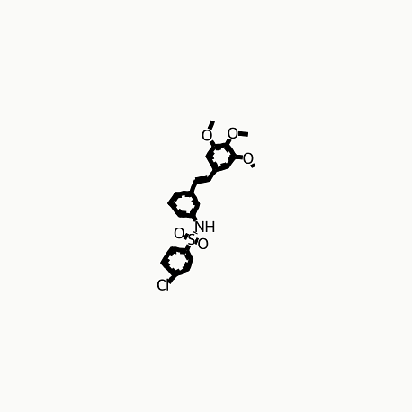 COc1cc(C=Cc2cccc(NS(=O)(=O)c3ccc(Cl)cc3)c2)cc(OC)c1OC